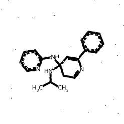 CC(C)NC1(Nc2ccccn2)C=C(c2ccccc2)N=CC1